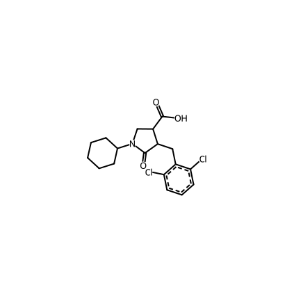 O=C(O)C1CN(C2CCCCC2)C(=O)C1Cc1c(Cl)cccc1Cl